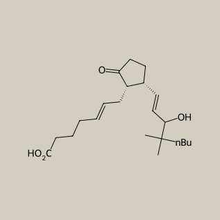 CCCCC(C)(C)C(O)C=C[C@H]1CCC(=O)[C@H]1CC=CCCCC(=O)O